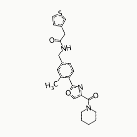 Cc1cc(CNC(=O)Cc2ccsc2)ccc1-c1nc(C(=O)N2CCCCC2)co1